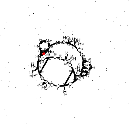 O=[P@]1(S)OC[C@H]2OC3[C@H](F)[C@@H]2O[P@](=O)(S)OC[C@H]2OC([C@H](F)[C@@H]2O1)n1cnc2c(ncnc21)NC[C@H](O)[C@@H](O)COc1ncnc2c1ncn23